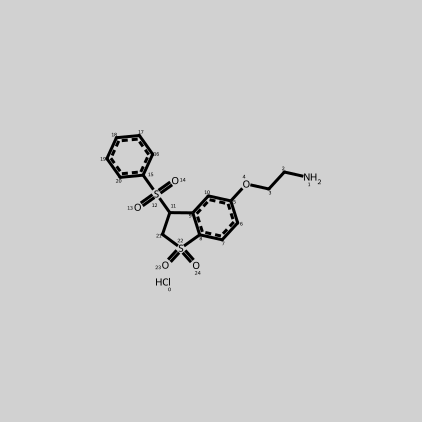 Cl.NCCOc1ccc2c(c1)C(S(=O)(=O)c1ccccc1)CS2(=O)=O